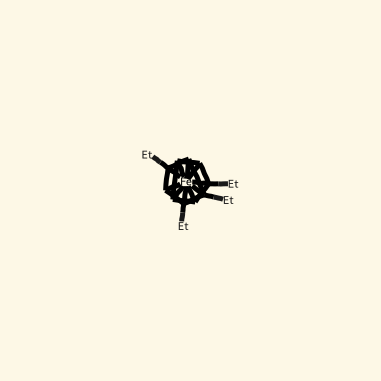 CC[C]12[CH]3[CH]4[CH]5[CH]1[Fe]45321678[CH]2[C]1(CC)[CH]6[C]7(CC)[C]28CC